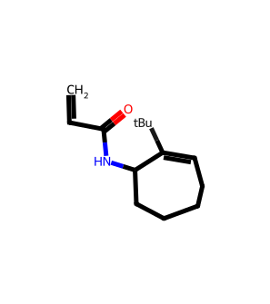 C=CC(=O)NC1CCCCC=C1C(C)(C)C